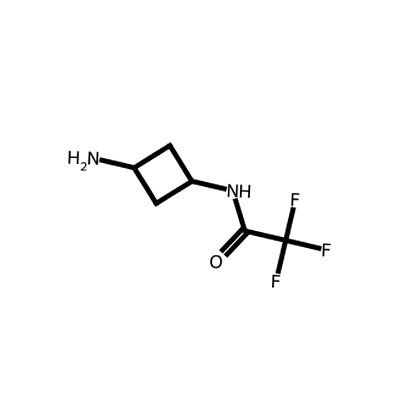 NC1CC(NC(=O)C(F)(F)F)C1